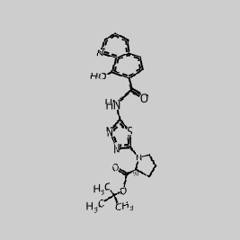 CC(C)(C)OC(=O)[C@@H]1CCCN1c1nnc(NC(=O)c2ccc3cccnc3c2O)s1